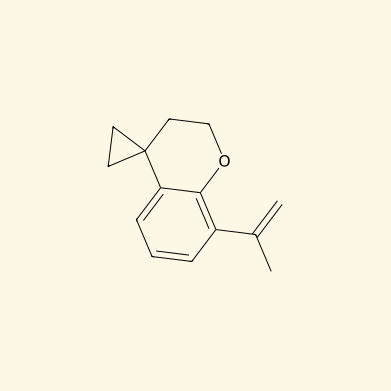 C=C(C)c1cccc2c1OCCC21CC1